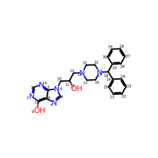 Oc1ncnc2c1ncn2CC(O)CN1CCN(C(c2ccccc2)c2ccccc2)CC1